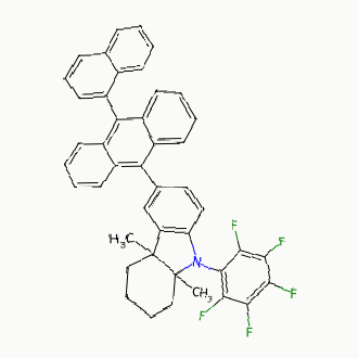 CC12CCCCC1(C)N(c1c(F)c(F)c(F)c(F)c1F)c1ccc(-c3c4ccccc4c(-c4cccc5ccccc45)c4ccccc34)cc12